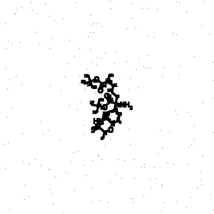 CC1Oc2ccc(C(N)(CCCN(C)C(=O)OC(C)(C)C)C(=O)OC(C)(C)C)cc2NC1=S